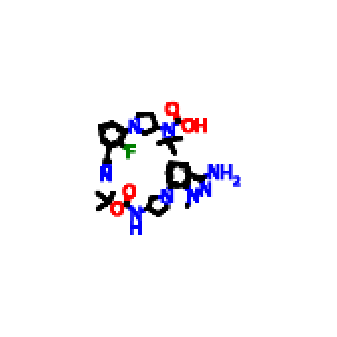 CC(C)(C)N(C(=O)O)[C@@H]1CCN(c2cccc(C#N)c2F)C1.Cn1nc(N)c2cccc(N3CC[C@@H](NC(=O)OC(C)(C)C)C3)c21